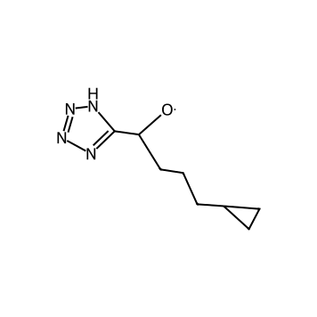 [O]C(CCCC1CC1)c1nnn[nH]1